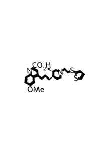 COc1ccc2nccc(CCC[C@@H]3CCN(CCSc4cccs4)C[C@H]3CC(=O)O)c2c1